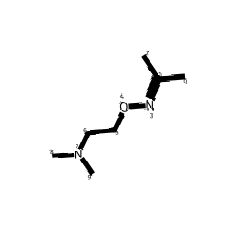 CC(C)=NOCCN(C)C